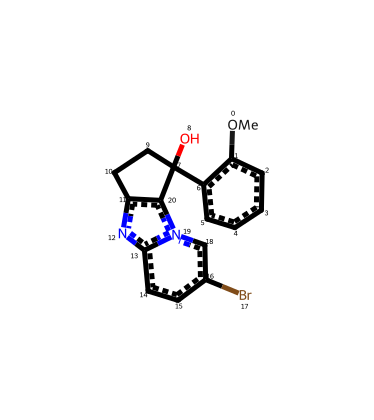 COc1ccccc1C1(O)CCc2nc3ccc(Br)cn3c21